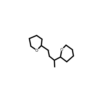 CC(C[CH]C1CCCCO1)C1CCCCO1